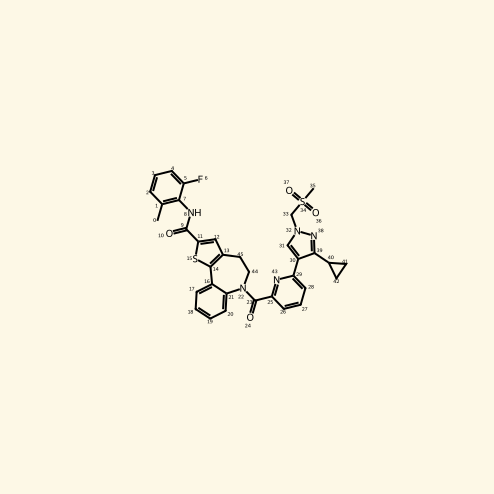 Cc1cccc(F)c1NC(=O)c1cc2c(s1)-c1ccccc1N(C(=O)c1cccc(-c3cn(CS(C)(=O)=O)nc3C3CC3)n1)CC2